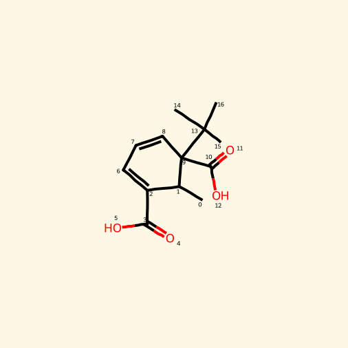 CC1C(C(=O)O)=CC=CC1(C(=O)O)C(C)(C)C